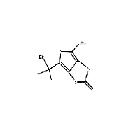 C=C1Sc2c(C(C)(C)C)sc(C(C)(C)CC)c2S1